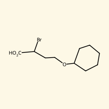 O=C(O)C(Br)CCOC1CCCCC1